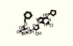 O=P(O)(O)[C@@](CO)(COCc1ccccc1)OC[C@H]1O[C@@H](n2ncc3c(NC4CCCC4)nc(Cl)nc32)C[C@@H]1O